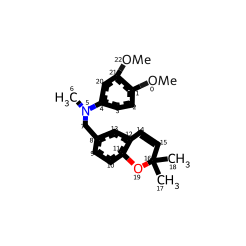 COc1ccc(N(C)Cc2ccc3c(c2)C=CC(C)(C)O3)cc1OC